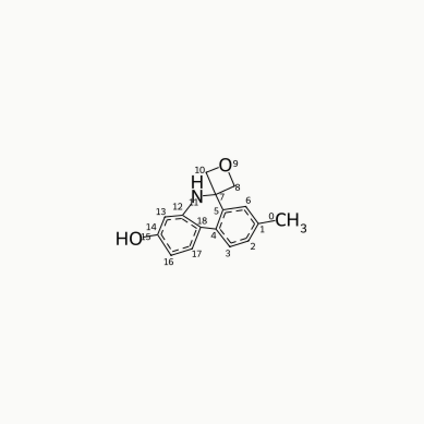 Cc1ccc2c(c1)C1(COC1)Nc1cc(O)ccc1-2